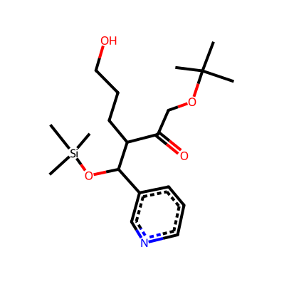 CC(C)(C)OCC(=O)C(CCCO)C(O[Si](C)(C)C)c1cccnc1